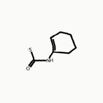 O=C([S])NC1=CCCCC1